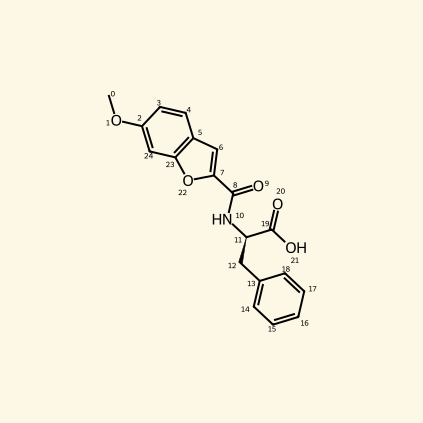 COc1ccc2cc(C(=O)N[C@H](Cc3ccccc3)C(=O)O)oc2c1